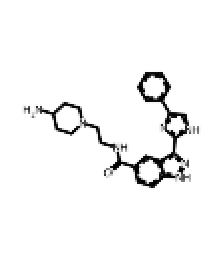 NC1CCN(CCNC(=O)c2ccc3[nH]nc(-c4nc(-c5ccccc5)c[nH]4)c3c2)CC1